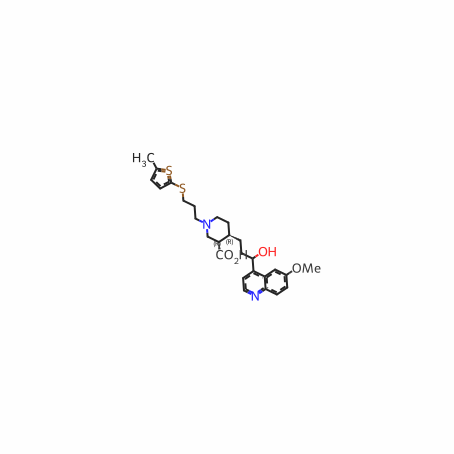 COc1ccc2nccc(C(O)CC[C@@H]3CCN(CCCSc4ccc(C)s4)C[C@@H]3C(=O)O)c2c1